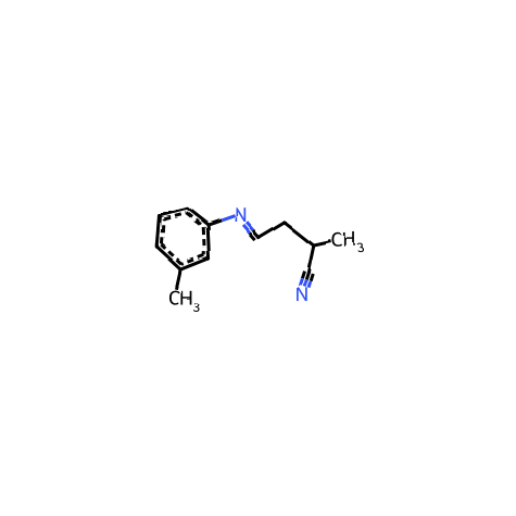 Cc1cccc(N=CCC(C)C#N)c1